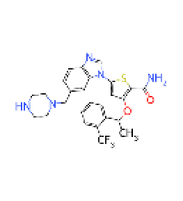 CC(Oc1cc(-n2cnc3ccc(CN4CCNCC4)cc32)sc1C(N)=O)c1ccccc1C(F)(F)F